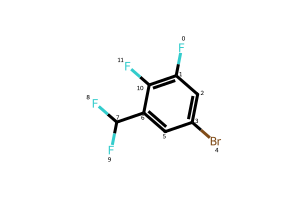 Fc1cc(Br)cc(C(F)F)c1F